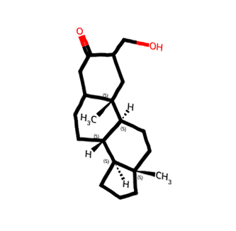 C[C@@]12CCC[C@H]1[C@@H]1CCC3CC(=O)C(CO)C[C@]3(C)[C@H]1CC2